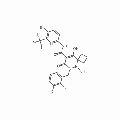 CN1N(Cc2cccc(F)c2F)C(=O)C(C(=O)Nc2ccc(Br)c(C(F)(F)F)n2)=C(O)C12CCC2